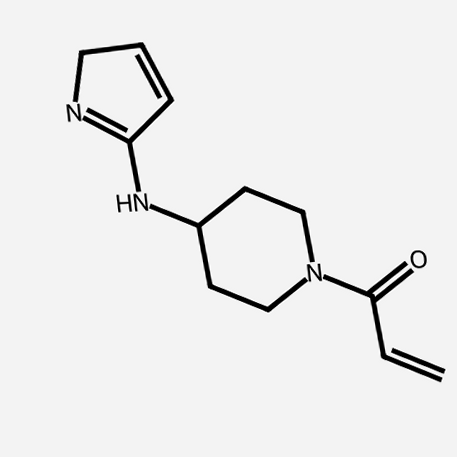 C=CC(=O)N1CCC(NC2=NCC=C2)CC1